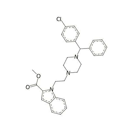 COC(=O)c1cc2ccccc2n1CCN1CCN(C(c2ccccc2)c2ccc(Cl)cc2)CC1